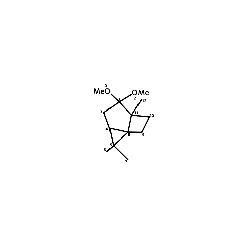 COC1(OC)CC2C(C)(C)C23CCC13C